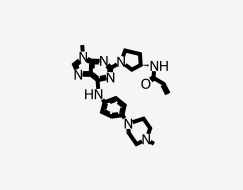 C=CC(=O)N[C@H]1CCN(c2nc(Nc3ccc(N4CCN(C)CC4)cc3)c3ncn(C)c3n2)C1